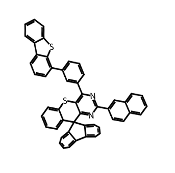 c1cc(-c2nc(-c3ccc4ccccc4c3)nc3c2Sc2ccccc2C32c3ccccc3-c3ccccc32)cc(-c2cccc3c2sc2ccccc23)c1